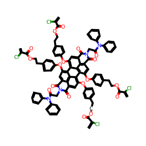 C=C(Cl)C(=O)OCCc1ccc(Oc2cc3c4c(cc(Oc5ccc(CCOC(=O)C(=C)Cl)cc5)c5c6c(Oc7ccc(CCOC(=O)C(=C)Cl)cc7)cc7c8c(cc(Oc9ccc(CCOC(=O)C(=C)Cl)cc9)c(c2c45)c86)C(=O)N(CC(=O)N(c2ccccc2)c2ccccc2)C7=O)C(=O)N(CC(=O)N(c2ccccc2)c2ccccc2)C3=O)cc1